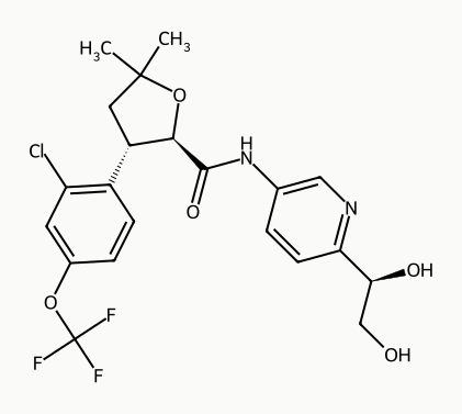 CC1(C)C[C@@H](c2ccc(OC(F)(F)F)cc2Cl)[C@H](C(=O)Nc2ccc([C@@H](O)CO)nc2)O1